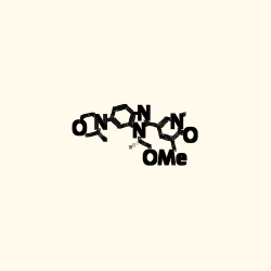 COC[C@H](C)n1c(-c2cc(C)c(=O)n(C)c2)nc2ccc(N3CCOC[C@@H]3C)cc21